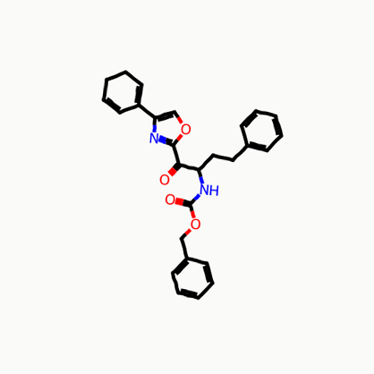 O=C(NC(CCc1ccccc1)C(=O)c1nc(C2=CCCC=C2)co1)OCc1ccccc1